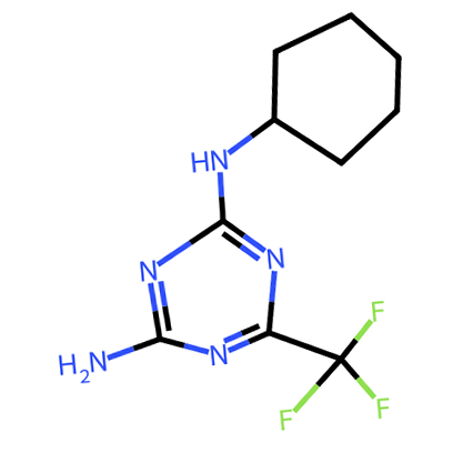 Nc1nc(NC2CCCCC2)nc(C(F)(F)F)n1